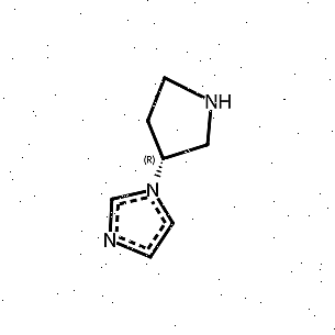 c1cn([C@@H]2CCNC2)cn1